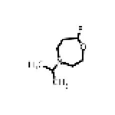 CC(C)N1CCOC(F)CC1